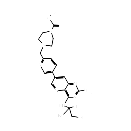 CCCCC(C)(CO)Nc1nc(N)nc2cc(-c3ccc(CN4CCN(C(=O)OC(C)(C)C)CC4)nc3)cnc12